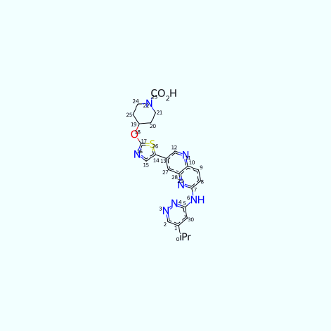 CC(C)c1cnnc(Nc2ccc3ncc(-c4cnc(OC5CCN(C(=O)O)CC5)s4)cc3n2)c1